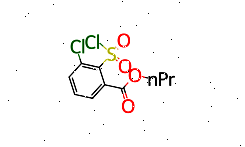 CCCOC(=O)c1cccc(Cl)c1S(=O)(=O)Cl